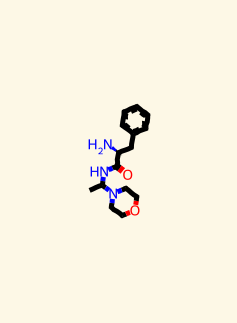 CC(NC(=O)[C@@H](N)Cc1ccccc1)N1CCOCC1